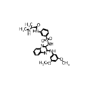 CNC(C)C(=O)Nc1cccc(S(=O)(=O)Nc2nc3ccccc3nc2Nc2cc(OC)cc(OC)c2)c1